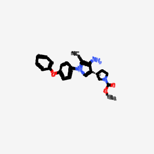 CC(C)(C)OC(=O)N1CC[C@@H](c2cn(-c3ccc(Oc4ccccc4)cc3)c(C#N)c2N)C1